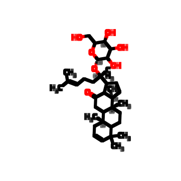 CC(C)=CCC[C@](C)(O[C@@H]1OC(CO)[C@@H](O)C(O)C1O)C1CC[C@]2(C)C1C(=O)CC1[C@@]3(C)CC=CC(C)(C)C3CC[C@]12C